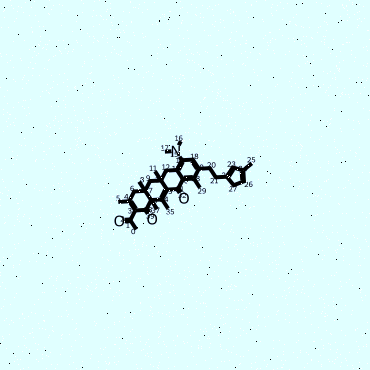 CC(=O)C1=C(C)CC2(C)CC3(C)Cc4c(N(C)C)cc(CCC5=CC(C)=CC5)c(C)c4C(=O)C3=C(C)C2(C)C1=O